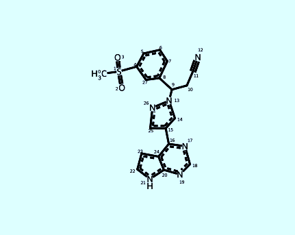 CS(=O)(=O)c1cccc(C(CC#N)n2cc(-c3ncnc4[nH]ccc34)cn2)c1